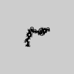 COc1cc(C)c(S(=O)(=O)N(C)CCOCC(=O)N(C)C2CCC(CCN(C)CC3CC3)CC2)c(C)c1